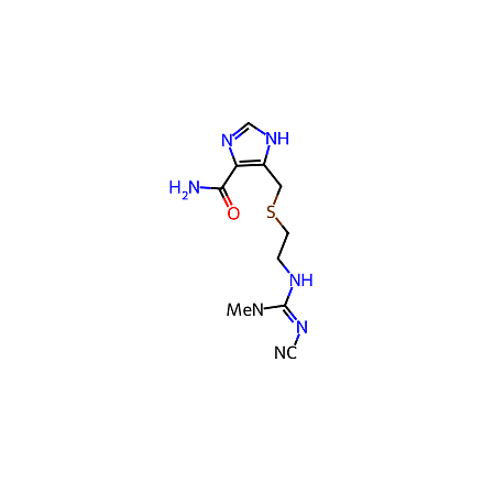 CN/C(=N\C#N)NCCSCc1[nH]cnc1C(N)=O